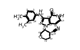 Cc1ccc(Nc2nn([C@H]3COCC[C@@H]3C#N)c3cc[nH]c(=O)c23)cc1C